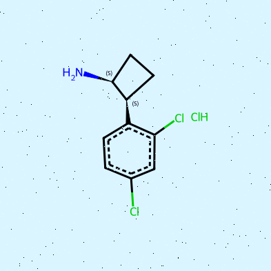 Cl.N[C@H]1CC[C@H]1c1ccc(Cl)cc1Cl